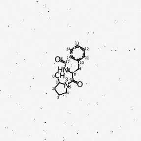 C[C@@H]1CCCN1C(=O)[C@H](Cc1ccccc1)NC=O